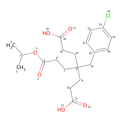 CC(C)OC(=O)CCC(CCC(=O)O)(CCC(=O)O)Cc1ccc(Cl)cc1